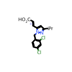 CC(C)c1cc(/C=C/C(=O)O)n(Cc2ccc(Cl)cc2Cl)n1